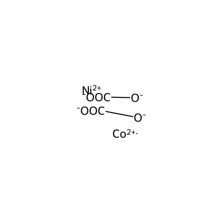 O=C([O-])[O-].O=C([O-])[O-].[Co+2].[Ni+2]